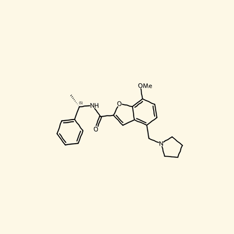 COc1ccc(CN2CCCC2)c2cc(C(=O)N[C@@H](C)c3ccccc3)oc12